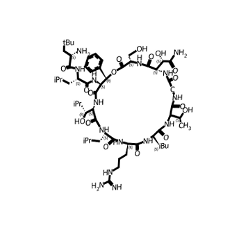 CC[C@H](C)C1NC(=O)[C@@H](CCCNC(=N)N)NC(=O)[C@H](CC(C)C)NC(=O)[C@H]([C@H](O)C(C)C)NC(=O)[C@@H](NC(=O)[C@H](CC(C)C)NC(=O)[C@@H](N)CC(C)(C)C)[C@@H](c2ccccc2)OC(=O)[C@H](CO)NC(=O)[C@H]([C@H](O)C(N)=O)NC(=O)CNC(=O)C([C@H](C)O)NC1=O